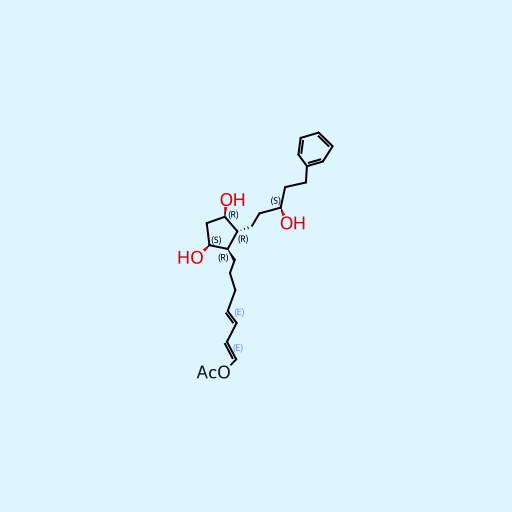 CC(=O)O/C=C/C=C/CCC[C@@H]1[C@@H](CC[C@H](O)CCc2ccccc2)[C@H](O)C[C@@H]1O